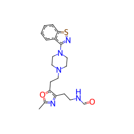 Cc1nc(CCNC=O)c(CCN2CCN(c3nsc4ccccc34)CC2)o1